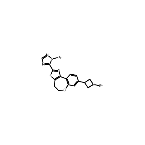 CC(C)N1CC(c2ccc3c(c2)OCCc2sc(-c4ncnn4C(C)C)nc2-3)C1